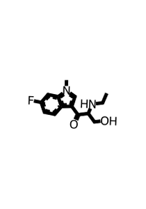 CCNC(CO)C(=O)c1cn(C)c2cc(F)ccc12